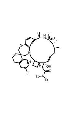 CCN(CC)C(=O)C[C@]1(O)/C=C/C[C@H](C)[C@@H](C)S(=O)(=O)NC(=O)c2ccc3c(c2)N(C[C@@H]2CC[C@H]21)C[C@@]1(CCCc2cc(Cl)ccc21)CO3